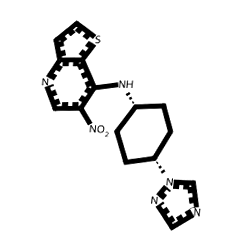 O=[N+]([O-])c1cnc2ccsc2c1N[C@H]1CC[C@@H](n2cncn2)CC1